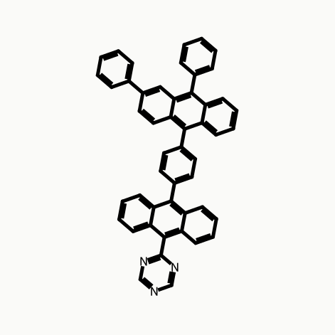 c1ccc(-c2ccc3c(-c4ccc(-c5c6ccccc6c(-c6ncncn6)c6ccccc56)cc4)c4ccccc4c(-c4ccccc4)c3c2)cc1